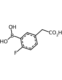 O=C(O)Cc1ccc(F)c(B(O)O)c1